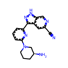 N#Cc1cc2c(-c3cccc(N4CCC[C@H](N)C4)n3)n[nH]c2cn1